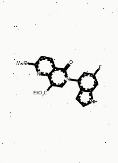 CCOC(=O)c1cn(-c2cc(F)cc3[nH]ccc23)c(=O)c2ccc(OC)nc12